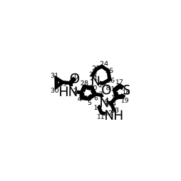 O=C(Nc1ccc(C(=O)N2CCNCC2c2ccsc2)c(N2CCCCCC2)c1)C1CC1